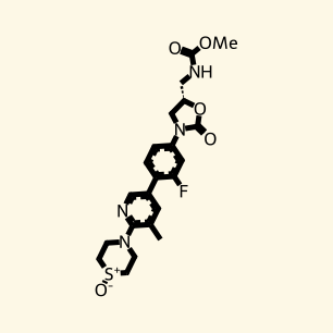 COC(=O)NC[C@H]1CN(c2ccc(-c3cnc(N4CC[S+]([O-])CC4)c(C)c3)c(F)c2)C(=O)O1